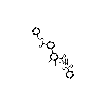 Cc1cc(-c2cccc(C(=O)OCc3ccccc3)c2)cc(C(=O)NNS(=O)(=O)c2ccccc2)c1F